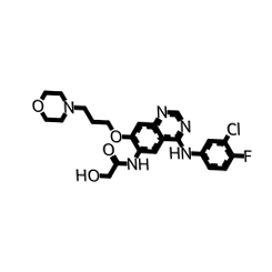 O=C(CO)Nc1cc2c(Nc3ccc(F)c(Cl)c3)ncnc2cc1OCCCN1CCOCC1